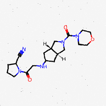 N#CC1CCCN1C(=O)CNC1C[C@@H]2CN(C(=O)N3CCOCC3)C[C@H]2C1